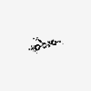 CC#C[C@H]1CN(S(=O)(=O)c2ccc(N)nc2)CCN1c1ccc([C@@](C)(O)C(F)(F)F)cc1